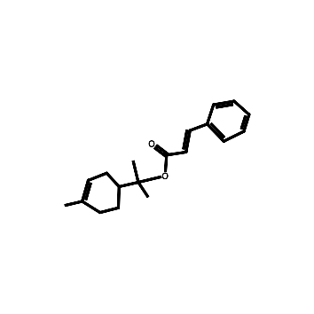 CC1=CCC(C(C)(C)OC(=O)C=Cc2ccccc2)CC1